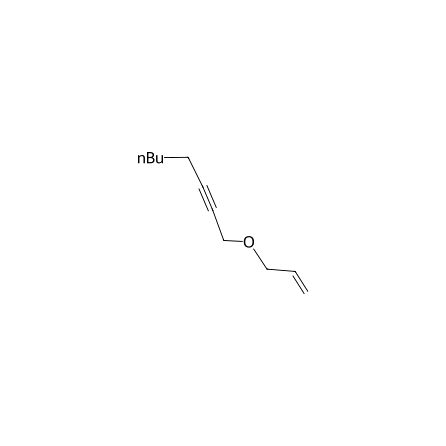 C=CCOCC#CCCCCC